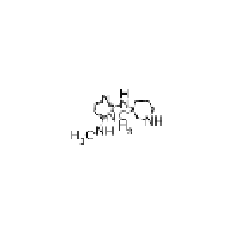 CNc1ccnc(NC2(C)CCCNC2)n1